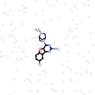 CN1CC2CC1CN2c1nc(N)nc2c1oc1ccc(Cl)cc12